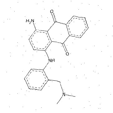 CN(C)Cc1ccccc1Nc1ccc(N)c2c1C(=O)c1ccccc1C2=O